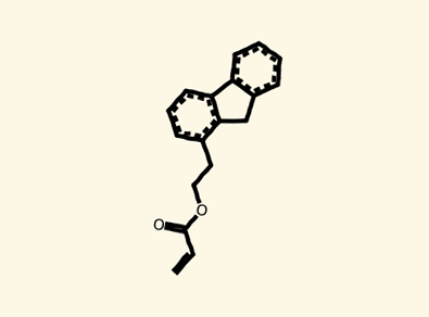 C=CC(=O)OCCc1cccc2c1Cc1ccccc1-2